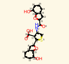 O=C(Nc1csc(-c2cc3cccc(O)c3o2)c1C(=O)O)c1cc2cccc(O)c2o1